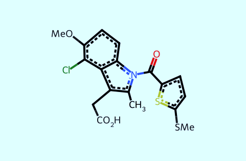 COc1ccc2c(c1Cl)c(CC(=O)O)c(C)n2C(=O)c1ccc(SC)s1